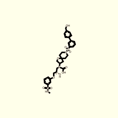 CNS(=O)(=O)c1cccc(OC[C@@H](O)CN(C(=O)O)C2COC3(CCN(S(=O)(=O)c4cccc(-c5ccc(CO)cc5)c4)CC3)C2)c1